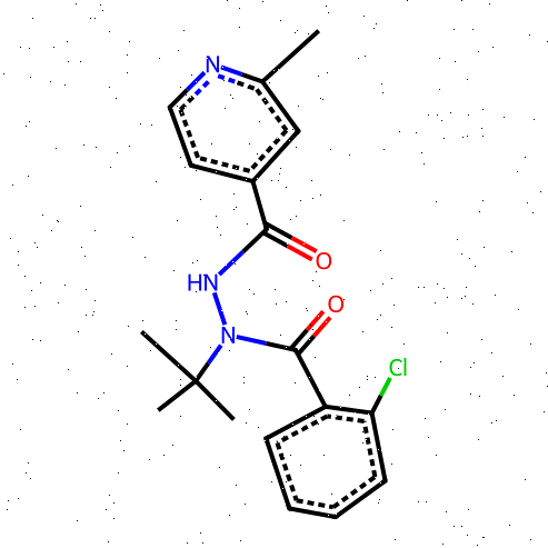 Cc1cc(C(=O)NN(C(=O)c2ccccc2Cl)C(C)(C)C)ccn1